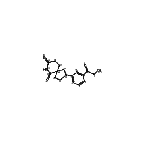 COC(=O)c1cccc(N2CCC3(CCC(=O)NC3=O)C2)n1